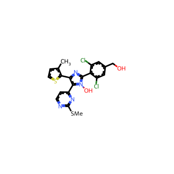 CSc1nccc(-c2c(-c3sccc3C)nc(-c3c(Cl)cc(CO)cc3Cl)n2O)n1